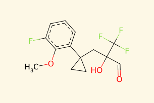 COc1c(F)cccc1C1(CC(O)(C=O)C(F)(F)F)CC1